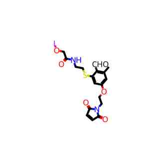 Cc1cc(OCCN2C(=O)C=CC2=O)cc(SCCNC(=O)COI)c1C=O